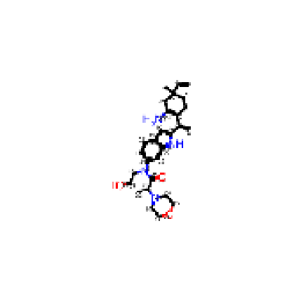 C=CC1(C)CCC(C(=C)c2cc3ccc(N(CCO)C(=O)[C@H](C)N4CCOCC4)cc3[nH]2)=C(N)C1